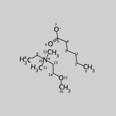 CCCCCC(=O)[O-].CC[N+](C)(C)CCOC